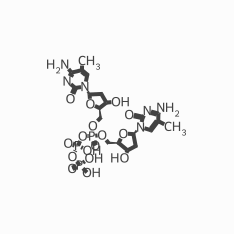 Cc1cn([C@H]2CC(O)[C@@H](COP(=O)(OC[C@H]3O[C@@H](n4cc(C)c(N)nc4=O)CC3O)OP(=O)(O)OP(=O)(O)O)O2)c(=O)nc1N